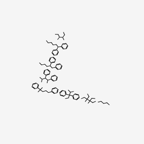 CC(C)(CCCc1ccccc1)c1ccccc1.CC(C)C(c1ccccc1)C(C)c1ccccc1.CCC(C)(CC)C(C)(CC)CC.CCC(C)C(C)CC.CCC(c1ccccc1)(c1ccccc1)C(C)C.CCCCC.CCCCC(Cc1ccccc1)c1ccccc1.CCCCCC(c1ccccc1)c1ccccc1